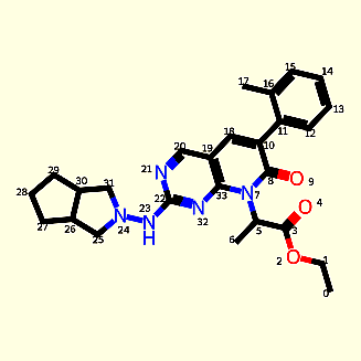 CCOC(=O)C(C)n1c(=O)c(-c2ccccc2C)cc2cnc(NN3CC4CCCC4C3)nc21